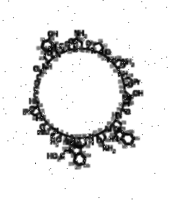 CCCC[C@H]1C(=O)N(C)[C@@H](CCCC)C(=O)N[C@@H](CC(C)C)C(=O)NCCOCC(=O)N[C@@H](Cc2ccc(O)cc2)C(=O)N(C)[C@@H](C)C(=O)N[C@@H](CC(N)=O)C(=O)N2CCC[C@H]2C(=O)N[C@@H](CN)C(=O)N[C@@H](CC(C)C)C(=O)C2N[C@@H](C[C@H]2O)C(=O)N[C@@H](Cc2c[nH]c3ccccc23)C(=O)N[C@@H](CCN)C(=O)N[C@@H](Cc2cn(CC(=O)O)c3ccccc23)C(=O)N1C